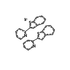 [Ir].c1ccc(-c2cc3ccccc3s2)nc1.c1ccc(-c2cc3ccccc3s2)nc1